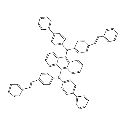 C(=C\c1ccc(N(c2ccc(-c3ccccc3)cc2)c2c3ccccc3c(N(c3ccc(/C=C/c4ccccc4)cc3)c3ccc(-c4ccccc4)cc3)c3ccccc23)cc1)/c1ccccc1